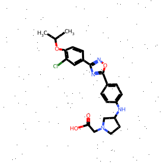 CC(C)Oc1ccc(-c2noc(-c3ccc(NC4CCN(CC(=O)O)C4)cc3)n2)cc1Cl